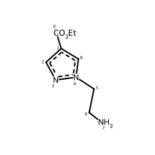 CCOC(=O)c1cnn(CCN)c1